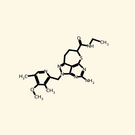 CCNC(=O)C1CCc2nn(Cc3ncc(C)c(OC)c3C)c3nc(N)nc(c23)S1